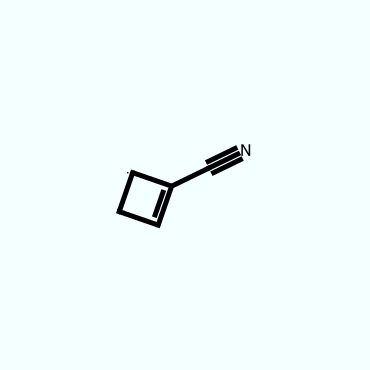 N#CC1=CC[CH]1